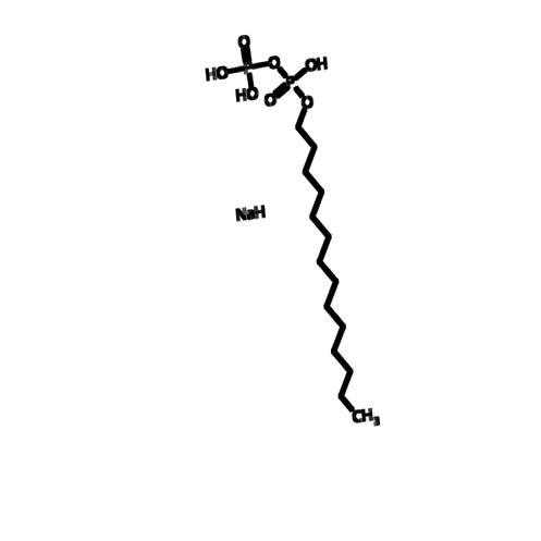 CCCCCCCCCCCCCCOP(=O)(O)OP(=O)(O)O.[NaH]